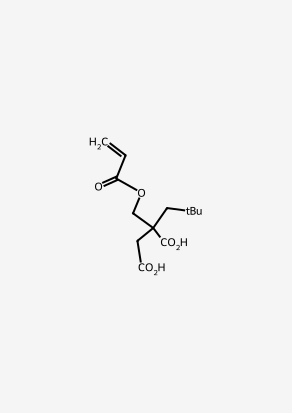 C=CC(=O)OCC(CC(=O)O)(CC(C)(C)C)C(=O)O